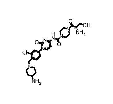 NC1CCN(Cc2ccc(-n3ccc(NC(=O)N4CCN(C(=O)[C@@H](N)CO)CC4)nc3=O)cc2Cl)CC1